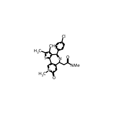 CNC(=O)CC1N=C(c2ccc(Cl)cc2)c2c(sc(C)c2C)-c2cn(C)c(=O)cc21